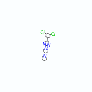 Clc1cc(Cl)cc(-c2cnc(N3CCC(N4CCCCC4)CC3)nc2)c1